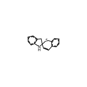 C1=CC2(Cc3ccccc3N2)Sc2ccccc21